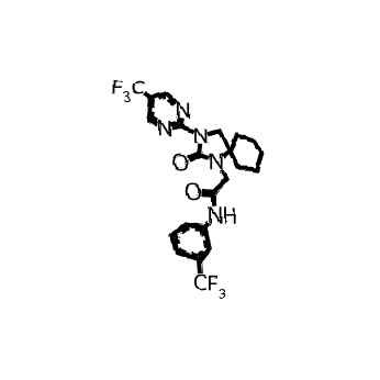 O=C(CN1C(=O)N(c2ncc(C(F)(F)F)cn2)CC12CCCCC2)Nc1cccc(C(F)(F)F)c1